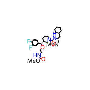 CNC[C@H](CC1CCCCC1)NC(=O)N1CCC[C@@H](C(OCCNC(=O)OC)c2ccc(F)c(F)c2)C1